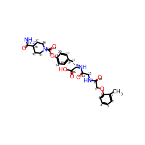 Cc1ccccc1OCC(=O)NCC(=O)N[C@@H](Cc1ccc(OC(=O)N2CCC(C(N)=O)CC2)cc1)C(=O)O